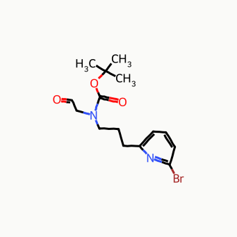 CC(C)(C)OC(=O)N(CC=O)CCCc1cccc(Br)n1